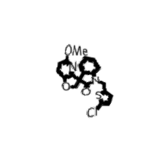 COc1ccc2c(n1)C1(CO2)C(=O)N(Cc2ccc(Cl)s2)c2ccccc21